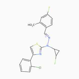 O=C(O)c1cc(F)ccc1/C=N/N(c1nc(-c2ccccc2Cl)cs1)C1CC1F